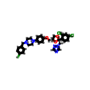 Fc1ccc(CN2CCN(c3ccc(OC[C@@H]4CO[C@@](Cn5cncn5)(c5ccc(Cl)cc5Cl)O4)cc3)CC2)cc1